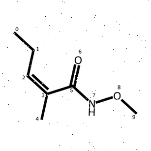 CCC=C(C)C(=O)NOC